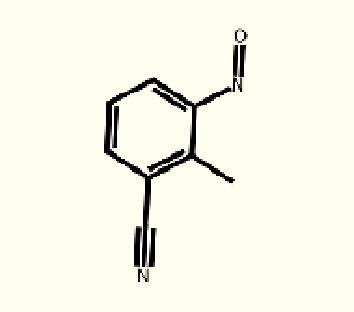 Cc1c(C#N)cccc1N=O